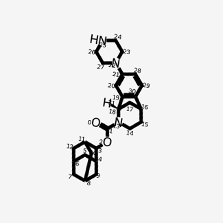 O=C(OC1C2CC3CC(C2)CC1C3)N1CCC2C[C@H]1c1cc(N3CCNCC3)ccc12